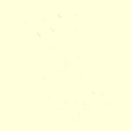 C1=C\c2ccc(-c3ccc4c(c3)c3cccnc3n4-c3ccccn3)cc2-c2ccc3ccccc3c2Sc2ccccc2-c2ccccc2/1